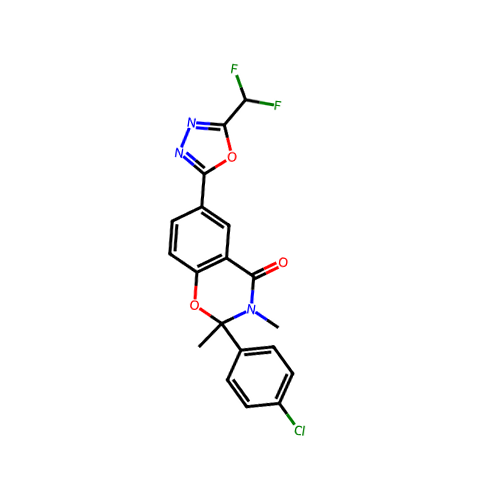 CN1C(=O)c2cc(-c3nnc(C(F)F)o3)ccc2OC1(C)c1ccc(Cl)cc1